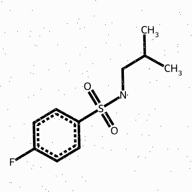 CC(C)C[N]S(=O)(=O)c1ccc(F)cc1